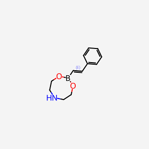 C(=C\c1ccccc1)/B1OCCNCCO1